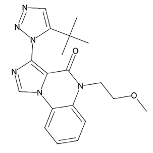 COCCn1c(=O)c2c(-n3nncc3C(C)(C)C)ncn2c2ccccc21